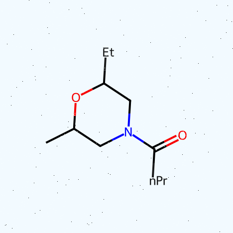 CCCC(=O)N1CC(C)OC(CC)C1